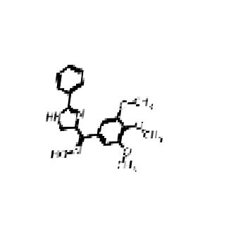 COc1cc(C(=NO)C2CNC(c3ccccc3)=N2)cc(OC)c1OC